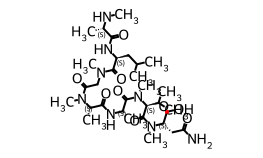 CN[C@@H](C)C(=O)N[C@@H](CC(C)C)C(=O)N(C)CC(=O)N(C)[C@@H](C)C(=O)N[C@@H](C)C(=O)N(C)[C@H](C(=O)N(C)[C@@H](CC(N)=O)C(=O)O)C(C)C